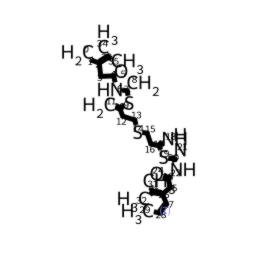 C=CC(CC(=O)NC(=C)SC(=C)CCSCCC(=N)SC(=N)NC(=O)CC(/C=C\C)=C(C)C)=C(C)C